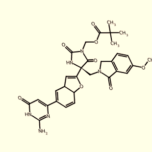 COc1ccc2c(c1)C(=O)N(C[C@@]1(C3=CC4C=C(c5cc(=O)[nH]c(N)n5)C=CC4O3)NC(=O)N(COC(=O)C(C)(C)C)C1=O)C2